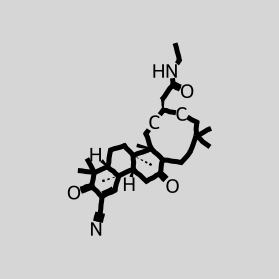 CCNC(=O)C[C@H]1CCC(C)(C)CCC2C(=O)C[C@@H]3[C@@]4(C)C=C(C#N)C(=O)C(C)(C)[C@@H]4CC[C@@]3(C)[C@]2(C)CC1